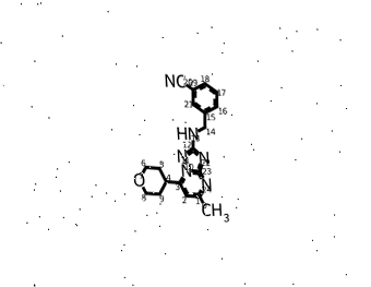 Cc1cc(C2CCOCC2)n2nc(NCc3cccc(C#N)c3)nc2n1